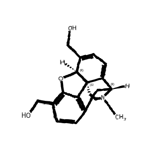 CN1CC[C@@]23C4=CC=C(CO)[C@@H]2Oc2c(CO)ccc(c23)C[C@H]41